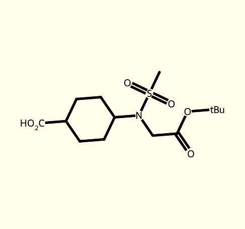 CC(C)(C)OC(=O)CN(C1CCC(C(=O)O)CC1)S(C)(=O)=O